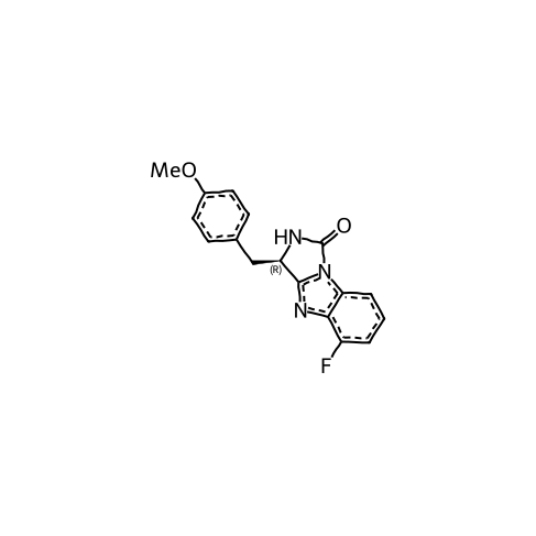 COc1ccc(C[C@H]2NC(=O)n3c2nc2c(F)cccc23)cc1